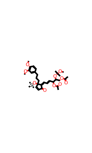 COc1ccc(CCCC2(O[Si](C)(C)C)C=CC(=O)C2=CC=CC(OC(C)=O)C(COC(C)=O)OC(C)(C)OC)cc1OC